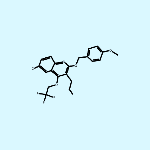 CCCc1c(OCc2ccc(OC)cc2)nc2ccc(Cl)cc2c1OCC(F)(F)F